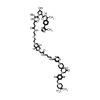 Cc1ncsc1-c1ccc([C@H](C)NC(=O)[C@@H]2C[C@@H](O)CN2C(=O)[C@@H](NC(=O)CCC(=O)NCCOCCN2C[C@@H]3CN(CC(=O)NCCCNc4cc(N5CCC6(CC5)CN(c5cc(F)c(CN7CCC(C)(C)CC7)cc5F)CC(=O)N6)ncn4)C[C@@H]3C2)C(C)(C)C)cc1